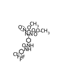 CCOC(=O)Oc1nc(-c2ccc(NC(=O)Nc3ccc(Cl)c(C(F)(F)F)c3)cc2)nc(N2CCOCC2)c1OCC